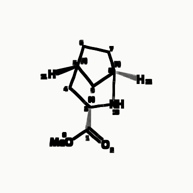 COC(=O)[C@@H]1C[C@@H]2CC[C@H](C2)N1